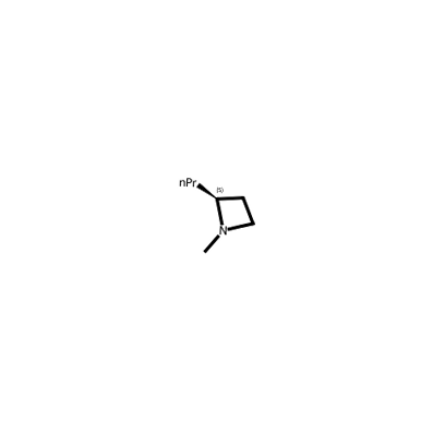 CCC[C@H]1CCN1C